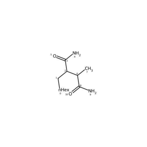 CCCCCCCC(C(N)=O)C(C)C(N)=O